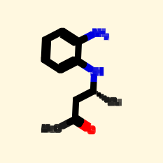 COC(=O)C[C@H](Nc1ccccc1N)C(C)(C)C